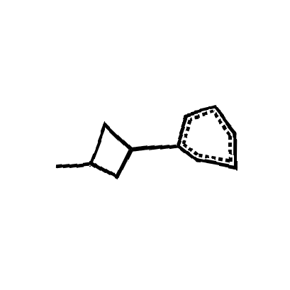 C[C]1CC(c2ccccc2)C1